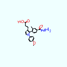 COc1ccc(-n2ccc(CCC(=O)O)c2-c2ccc(C(N)=O)cc2C)cc1